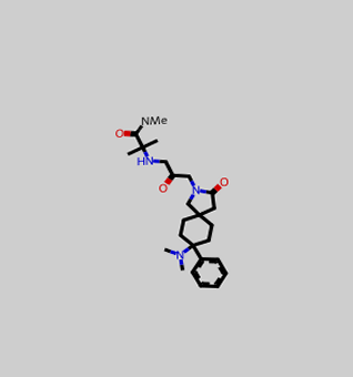 CNC(=O)C(C)(C)NCC(=O)CN1CC2(CCC(c3ccccc3)(N(C)C)CC2)CC1=O